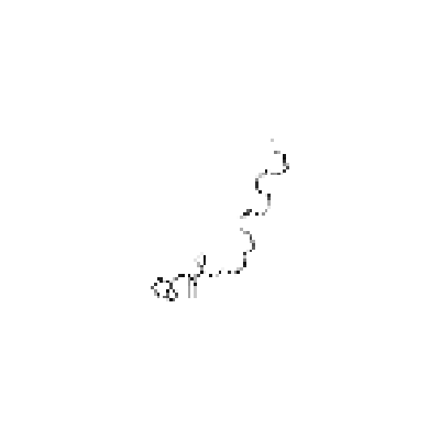 CC/C=C\C/C=C\C/C=C\C/C=C\C/C=C\C/C=C\CCC(=O)NCc1ccco1